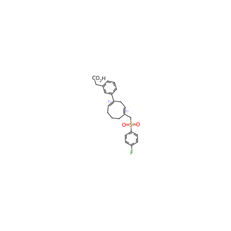 O=C(O)Cc1cccc(/C2=C/CCC/C(CS(=O)(=O)c3ccc(F)cc3)=C\C2)c1